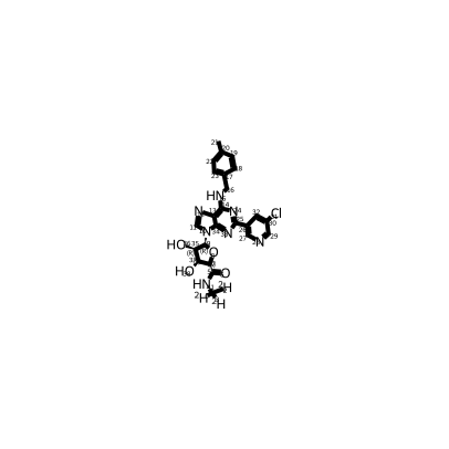 [2H]C([2H])([2H])NC(=O)[C@H]1O[C@@H](n2cnc3c(NCc4ccc(C)cc4)nc(-c4cncc(Cl)c4)nc32)[C@H](O)[C@@H]1O